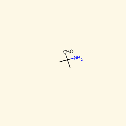 CC(C)(N)[C]=O